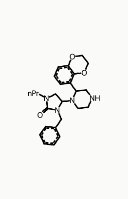 CCCN1CC(N2CCNCC2c2cccc3c2OCCO3)N(Cc2ccccc2)C1=O